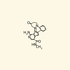 CNC(=O)c1cnc(N)c2[nH]c(-c3ccccc3N3CCC(=O)CC3)cc12